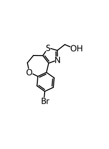 OCc1nc2c(s1)CCOc1cc(Br)ccc1-2